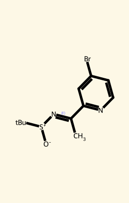 C/C(=N\[S+]([O-])C(C)(C)C)c1cc(Br)ccn1